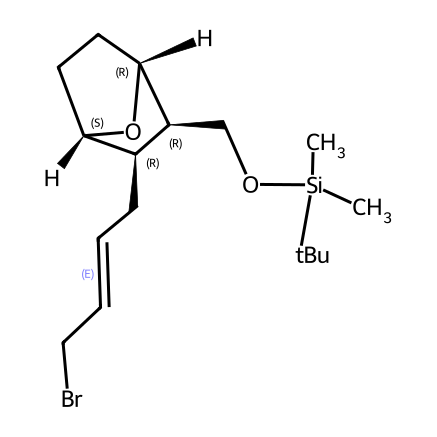 CC(C)(C)[Si](C)(C)OC[C@H]1[C@@H](C/C=C/CBr)[C@@H]2CC[C@H]1O2